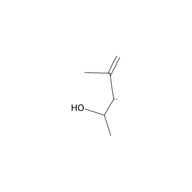 C=C(C)[CH]C(C)O